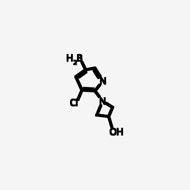 Bc1cnc(N2CC(O)C2)c(Cl)c1